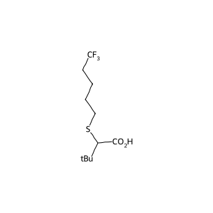 CC(C)(C)C(SCCCCC(F)(F)F)C(=O)O